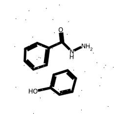 NNC(=O)c1ccccc1.Oc1ccccc1